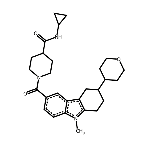 Cn1c2c(c3cc(C(=O)N4CCC(C(=O)NC5CC5)CC4)ccc31)CC(C1CCOCC1)CC2